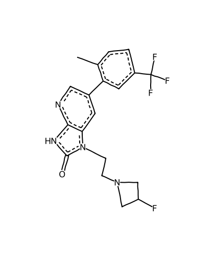 Cc1ccc(C(F)(F)F)cc1-c1cnc2[nH]c(=O)n(CCN3CC(F)C3)c2c1